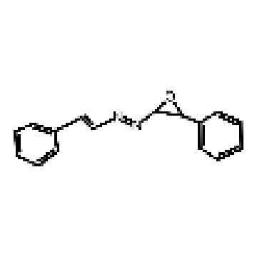 C(=Cc1ccccc1)N=NC1OC1c1ccccc1